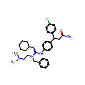 CN(C)CCN(Cc1ccccc1)/C(=N\C1CCCCC1)Nc1ccc(C(CC(N)=O)c2ccc(Cl)cc2)cc1